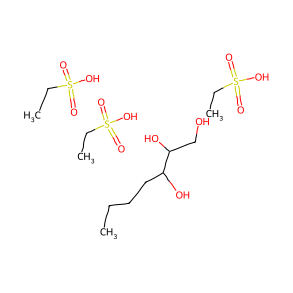 CCCCC(O)C(O)CO.CCS(=O)(=O)O.CCS(=O)(=O)O.CCS(=O)(=O)O